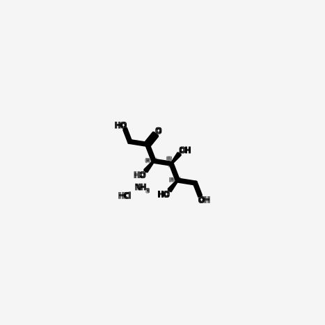 Cl.N.O=C(CO)[C@H](O)[C@@H](O)[C@H](O)CO